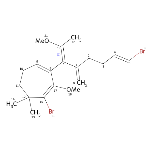 C=C(CCC=CBr)/C(C1=CCCC(C)(C)C(Br)=C1OC)=C(\C)OC